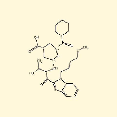 COCCCCn1c(C(=O)C(N[C@H]2C[C@@H](C(=O)N3CCCCC3)CN(C(=O)O)C2)C(C)C)nc2ccccc21